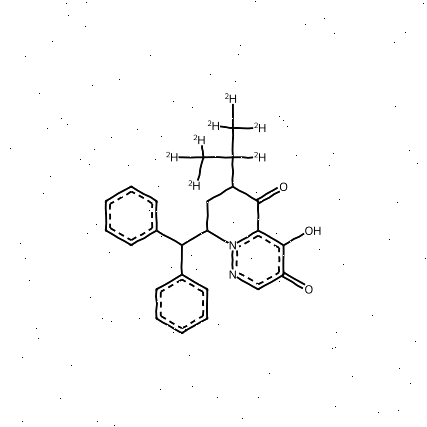 [2H]C([2H])([2H])C([2H])(C1CC(C(c2ccccc2)c2ccccc2)n2ncc(=O)c(O)c2C1=O)C([2H])([2H])[2H]